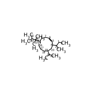 CCC(C)C1C=CCCN(C(C)(C)C(C)C)CCCC(C(C)C)C1